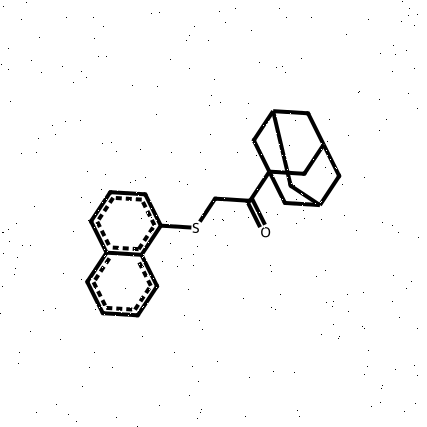 O=C(CSc1cccc2ccccc12)C12CC3CC(CC(C3)C1)C2